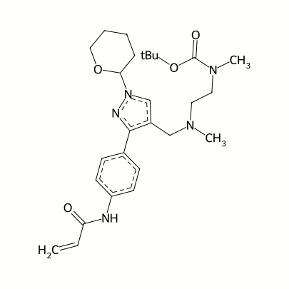 C=CC(=O)Nc1ccc(-c2nn(C3CCCCO3)cc2CN(C)CCN(C)C(=O)OC(C)(C)C)cc1